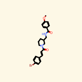 COc1ccc(C(=O)NCC2CCCN(C(=O)C=Cc3ccc(Br)cc3)C2)cc1